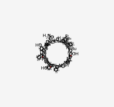 CCCC[C@H]1C(=O)N2C[C@H](O)C[C@@H]2C(=O)N2CCC[C@H]2C(=O)N[C@@H](C(C)C)C(=O)N(C)[C@@H](Cc2ccccc2)C(=O)N[C@@H](Cc2ccc(O)cc2)C(=O)N2CC[C@@H]2C(=O)N[C@@H](Cc2c[nH]c3ccccc23)C(=O)N[C@@H](Cc2ccc(O)cc2)C(=O)N[C@@H](CC(C)C)C(=O)N[C@H](C(=O)NCC(N)=O)CSCC(=O)N[C@@H](Cc2cc(F)c(F)c(F)c2)C(=O)N(C)[C@@H](Cc2ccccc2)C(=O)N1C